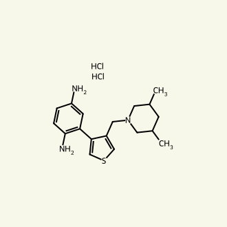 CC1CC(C)CN(Cc2cscc2-c2cc(N)ccc2N)C1.Cl.Cl